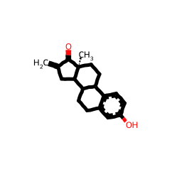 C=C1CC2C3CCc4cc(O)ccc4C3CC[C@]2(C)C1=O